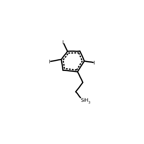 [SiH3]CCc1cc(I)c(I)cc1I